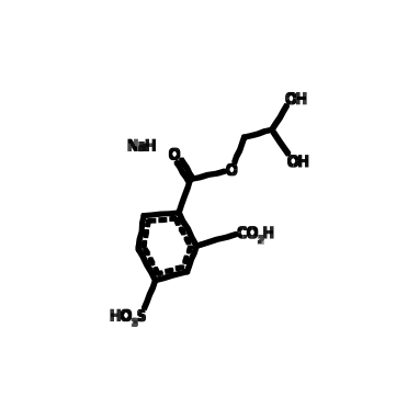 O=C(O)c1cc(S(=O)(=O)O)ccc1C(=O)OCC(O)O.[NaH]